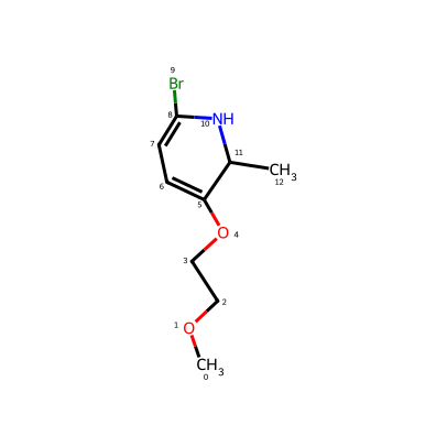 COCCOC1=CC=C(Br)NC1C